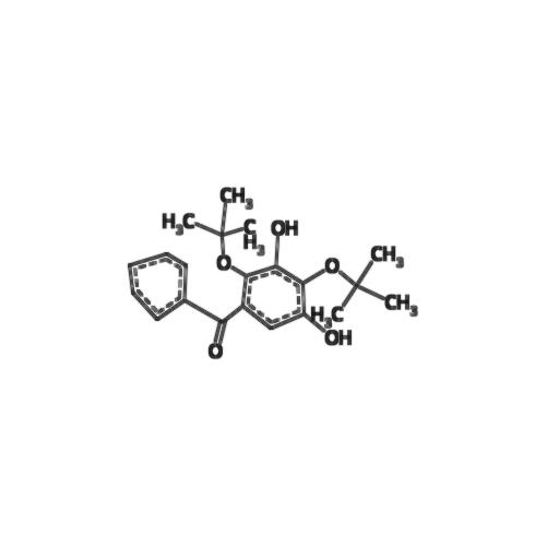 CC(C)(C)Oc1c(O)cc(C(=O)c2ccccc2)c(OC(C)(C)C)c1O